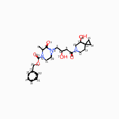 CC1C(=O)N(CC(O)CC(=O)N2CCC3(CC3)C(O)C2)CCN1C(=O)OCc1ccccc1